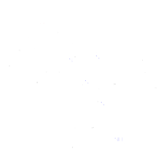 NCC1(CNc2nc(N3CCS(=O)(=O)c4ccccc4C3)nc3ccc(Cl)cc23)COC1